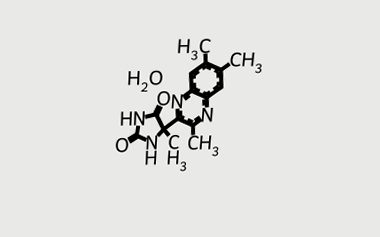 Cc1cc2nc(C)c(C3(C)NC(=O)NC3=O)nc2cc1C.O